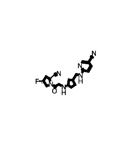 N#Cc1ccc(NCC2CC[C@@H](NCC(=O)N3C[C@@H](F)C[C@H]3C#N)C2)nc1